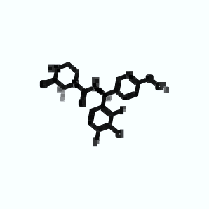 C[C@@H]1C(=O)NCCN1C(=O)N[C@@H](c1ccc(OC(F)(F)F)nc1)c1ccc(F)c(Cl)c1F